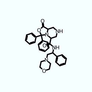 O=C(NC(CN1CCOCC1)c1ccccc1)C1CNCC2C(=O)OC(c3ccccc3)(c3ccccc3)N12